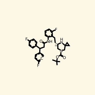 CC(C)(C)OC(=O)N1C[C@H](CCc2c(F)cccc2NC(=O)CC(c2ccc(F)cc2)c2ccc(F)cc2)NC2(CC2)C1